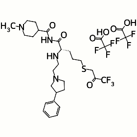 CN1CCC(C(=O)NC(=O)[C@H](CCCSCC(=O)C(F)(F)F)NCCN2CCC(c3ccccc3)C2)CC1.O=C(O)C(F)(F)F.O=C(O)C(F)(F)F